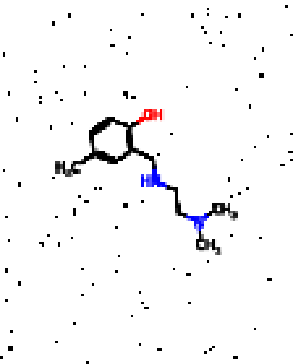 Cc1ccc(O)c(CNCCN(C)C)c1